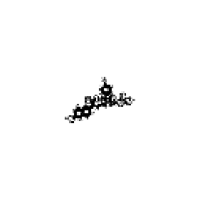 COc1ccc2cc([C@H](CCCN(CCO[N+](=O)[O-])S(=O)(=O)c3ccc(C)cc3)C(=O)O)ccc2c1